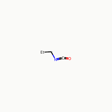 CC[CH]N=C=O